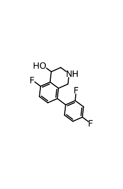 OC1CNCc2c(-c3ccc(F)cc3F)ccc(F)c21